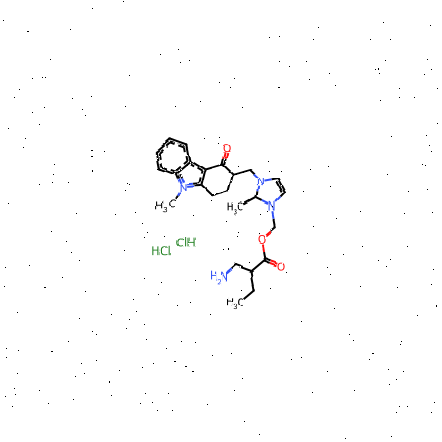 CCC(CN)C(=O)OCN1C=CN(CC2CCc3c(c4ccccc4n3C)C2=O)C1C.Cl.Cl